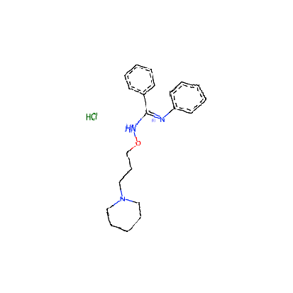 Cl.c1ccc(/N=C(/NOCCCN2CCCCC2)c2ccccc2)cc1